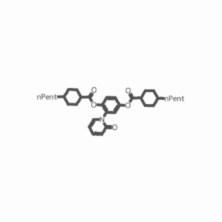 CCCCCC1CCC(C(=O)Oc2ccc(OC(=O)C3CCC(CCCCC)CC3)c(-n3ccccc3=O)c2)CC1